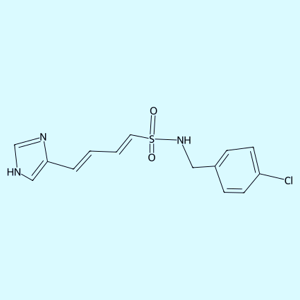 O=S(=O)(C=CC=Cc1c[nH]cn1)NCc1ccc(Cl)cc1